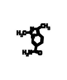 Cc1nc(C)n2cc(C(N)=O)ccc12